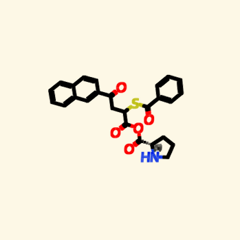 O=C(CC(SC(=O)c1ccccc1)C(=O)OC(=O)[C@@H]1CCCN1)c1ccc2ccccc2c1